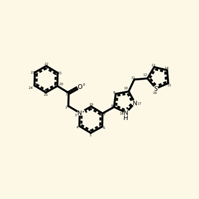 O=C(C[n+]1cccc(-c2cc(Cc3cccs3)n[nH]2)c1)c1ccccc1